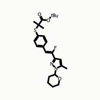 Cc1cc(/C(F)=C/c2ccc(SC(C)(C)C(=O)OC(C)(C)C)cc2)nn1C1CCCCO1